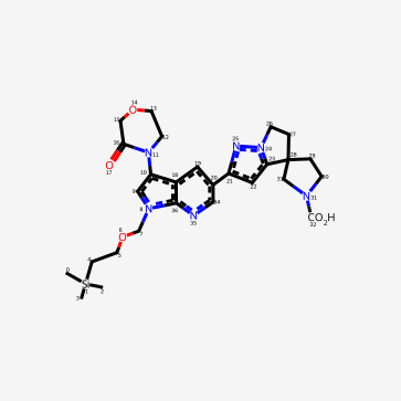 C[Si](C)(C)CCOCn1cc(N2CCOCC2=O)c2cc(-c3cc4n(n3)CCC43CCN(C(=O)O)C3)cnc21